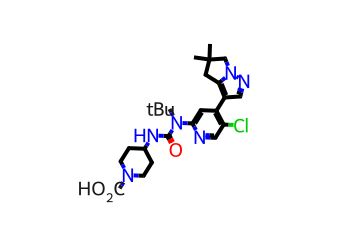 CC1(C)Cc2c(-c3cc(N(C(=O)NC4CCN(C(=O)O)CC4)C(C)(C)C)ncc3Cl)cnn2C1